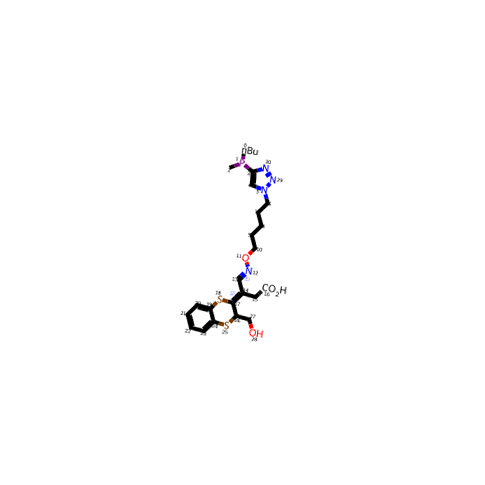 CCCCP(C)c1cn(CCCCCO/N=C/C(CC(=O)O)=C2\Sc3ccccc3SC2CO)nn1